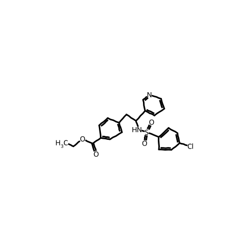 CCOC(=O)c1ccc(CC(NS(=O)(=O)c2ccc(Cl)cc2)c2cccnc2)cc1